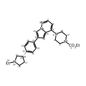 CCOC(=O)N1CCN(c2ccnn3cc(-c4ccc([C@@H]5CCN(CC)C5)cc4)cc23)CC1